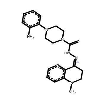 CN1CC/C(=N/NC(=S)N2CCN(c3ccccc3N)CC2)c2ncccc21